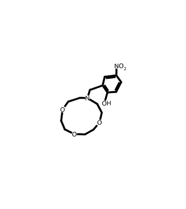 O=[N+]([O-])c1ccc(O)c(CN2CCOCCOCCOCC2)c1